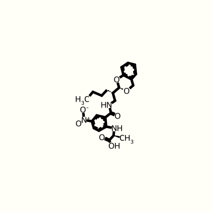 CCCC[C@@H](CNC(=O)c1cc([N+](=O)[O-])ccc1N[C@@H](C)C(=O)O)[C@H]1OCc2ccccc2O1